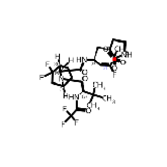 CC(C)(C)[C@H](NC(=O)C(F)(F)F)C(=O)N1[C@@H]2CC[C@H]([C@@H]1C(=O)N[C@H](/C=C(/F)S(C)(=O)=O)C[C@H]1CCNC1=O)C(F)(F)C2